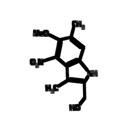 COc1c(C)cc2[nH]c(CO)c(C)c2c1[N+](=O)[O-]